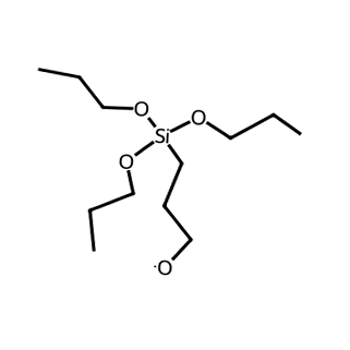 CCCO[Si](CCC[O])(OCCC)OCCC